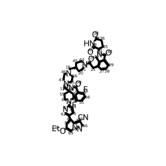 CCOc1cc(-c2ccc(N3CCC(CN4CCN(CC5CCN(C(=O)Cc6cccc7c6CN(C6CCC(=O)NC6=O)C7=O)CC5)CC4)(NC(=O)c4cc(F)ccc4F)CC3)nc2)c2c(C#N)cnn2c1